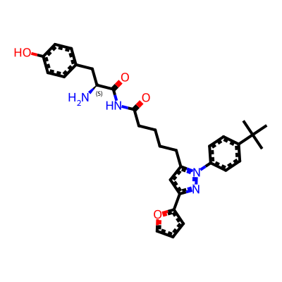 CC(C)(C)c1ccc(-n2nc(-c3ccco3)cc2CCCCC(=O)NC(=O)[C@@H](N)Cc2ccc(O)cc2)cc1